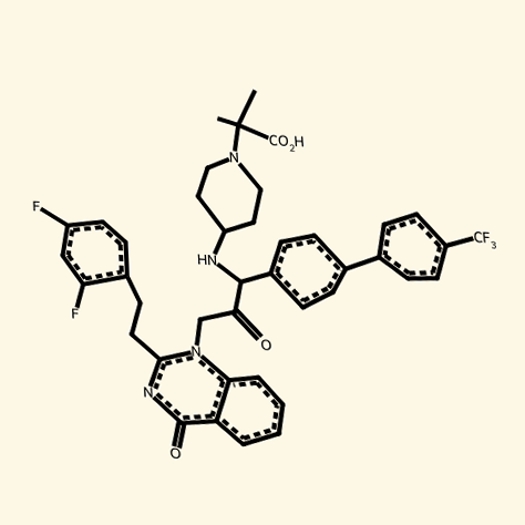 CC(C)(C(=O)O)N1CCC(NC(C(=O)Cn2c(CCc3ccc(F)cc3F)nc(=O)c3ccccc32)c2ccc(-c3ccc(C(F)(F)F)cc3)cc2)CC1